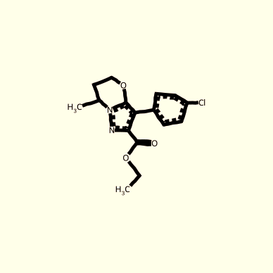 CCOC(=O)c1nn2c(c1-c1ccc(Cl)cc1)OCCC2C